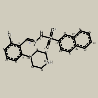 O=S(=O)(N/N=C/c1c(Cl)cccc1N1CCNCC1)c1ccc2ccccc2c1